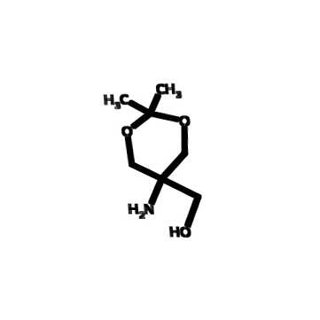 CC1(C)OCC(N)(CO)CO1